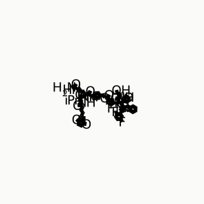 CC(C)[C@H](NC(=O)CCCCCN1C(=O)C=CC1=O)C(=O)N[C@@H](CCCNC(N)=O)C(=O)Nc1ccc(COC(=O)N2C[C@@H](CN(C(=O)N[C@@H](C)CO)C(c3nc(-c4cc(F)ccc4F)cn3Cc3ccccc3)C3CCOCC3)[C@@H](F)C2)cc1